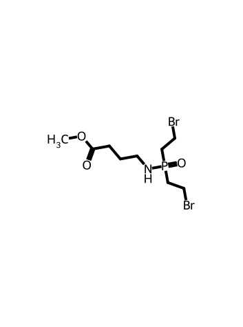 COC(=O)CCCNP(=O)(CCBr)CCBr